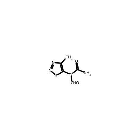 Cc1nnsc1N(C=O)C(N)=O